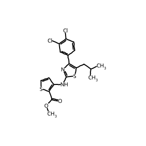 COC(=O)c1sccc1Nc1nc(-c2ccc(Cl)c(Cl)c2)c(CC(C)C)s1